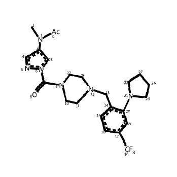 CC(=O)N(C)c1cnn(C(=O)N2CCN(Cc3ccc(C(F)(F)F)cc3N3CCCC3)CC2)c1